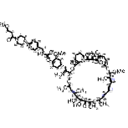 CCOCCC(=O)N1CCN(c2ncc(CNC(=O)O[C@@H]3CC[C@@H](C[C@@H](N)[C@@H]4CC[C@H](C)/C=C(\C)[C@@H](O)[C@@H](O)C(=O)[C@H](C)C[C@H](C)/C=C/C=C/C=C(\C)[C@@H](OC)C[C@@H]5CC[C@@H](C)[C@@](O)(O5)C(=O)C(=O)N5CCCC[C@H]5C(=O)O4)C[C@H]3OC)cn2)CC1